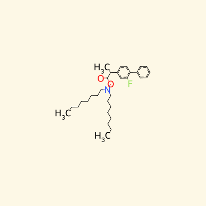 CCCCCCCCN(CCCCCCCC)OC(=O)C(C)c1ccc(-c2ccccc2)c(F)c1